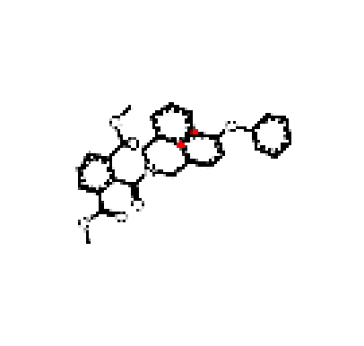 COC(=O)c1cccc(C(=O)OC)c1C(=O)N(Cc1ccccc1)Cc1ccc(Oc2ccccc2)cc1